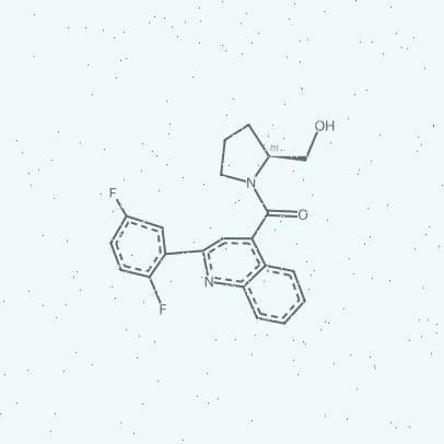 O=C(c1cc(-c2cc(F)ccc2F)nc2ccccc12)N1CCC[C@H]1CO